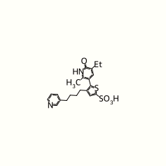 CCc1cc(-c2sc(S(=O)(=O)O)cc2CCCCc2cccnc2)c(C)[nH]c1=O